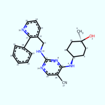 C[C@]1(O)CC[C@@H](Nc2nc(NCc3cccnc3-c3ccccc3)ncc2C#N)CC1